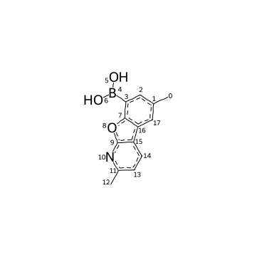 Cc1cc(B(O)O)c2oc3nc(C)ccc3c2c1